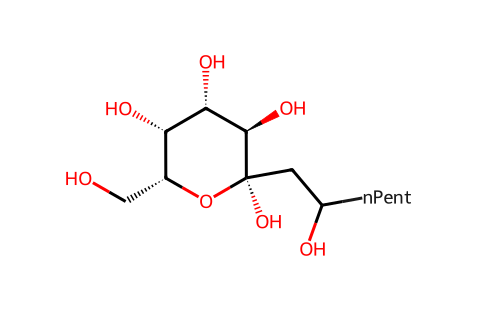 CCCCCC(O)C[C@@]1(O)O[C@H](CO)[C@H](O)[C@H](O)[C@H]1O